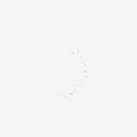 O=C(/C=C/c1cccnc1)NCc1ccc(-c2ccc(-c3ccc(C(=O)N4CCC(F)(F)CC4)cn3)cc2C(F)(F)F)o1